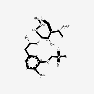 COc1ccc(C[C@@H](C[C@H](NOC(C)(C)C)[C@@H](O)C(=C=O)[C@@H](C)C(=O)O)C(C)C)cc1OCS(C)(=O)=O